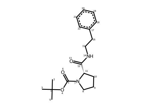 CC(C)(C)OC(=O)N1CCC[C@H]1C(=O)NCCc1ccccc1